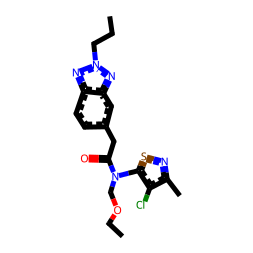 CCCn1nc2ccc(CC(=O)N(COCC)c3snc(C)c3Cl)cc2n1